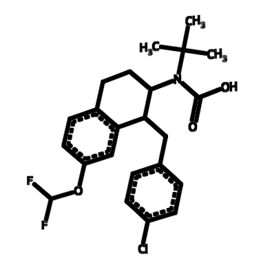 CC(C)(C)N(C(=O)O)C1CCc2ccc(OC(F)F)cc2C1Cc1ccc(Cl)cc1